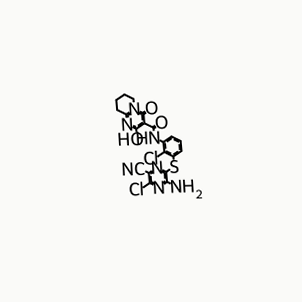 N#Cc1nc(Sc2cccc(NC(=O)c3c(O)nc4n(c3=O)CCCC4)c2Cl)c(N)nc1Cl